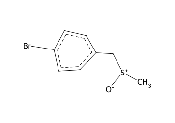 C[S+]([O-])Cc1ccc(Br)cc1